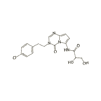 O=C(Nc1ccc2ncn(CCc3ccc(Cl)cc3)c(=O)n12)C(O)CO